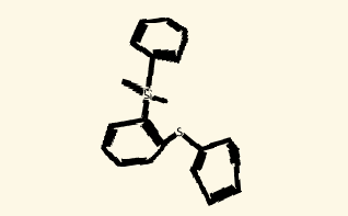 C[Si](C)(c1ccccc1)c1ccc[c]c1Sc1ccccc1